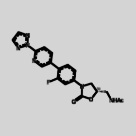 CC(=O)NC[C@H]1CN(c2ccc(-c3ccc(-n4nccn4)nc3)c(F)c2)C(=O)O1